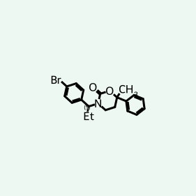 CC[C@@H](c1ccc(Br)cc1)N1CCC(C)(c2ccccc2)OC1=O